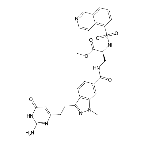 COC(=O)[C@H](CNC(=O)c1ccc2c(CCc3cc(=O)[nH]c(N)n3)nn(C)c2c1)NS(=O)(=O)c1cccc2cnccc12